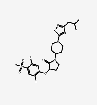 CC(C)Cc1nsc(N2CCC(N3CCC(Oc4cc(F)c(S(C)(=O)=O)cc4F)C3=O)CC2)n1